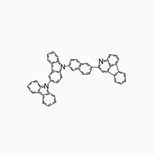 c1ccc2c(c1)-c1cccc3nc(-c4ccc5cc(-n6c7ccccc7c7cc(-n8c9ccccc9c9ccccc98)ccc76)ccc5c4)cc-2c13